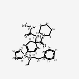 CCNC(=S)NC1(C(=O)N2CCCCC2)C=CC([N+]2(N(C)CCc3ccccc3)C=NC=N2)=CC1